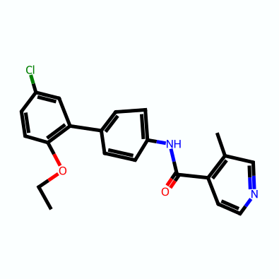 CCOc1ccc(Cl)cc1-c1ccc(NC(=O)c2ccncc2C)cc1